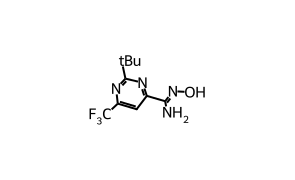 CC(C)(C)c1nc(C(N)=NO)cc(C(F)(F)F)n1